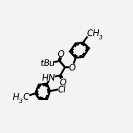 Cc1ccc(OC(C(=O)Nc2cc(C)ccc2Cl)C(=O)C(C)(C)C)cc1